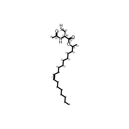 CCCCCCC/C=C\CCCCCCCC(C)OC(=O)[C@H](CS)NC(C)=O